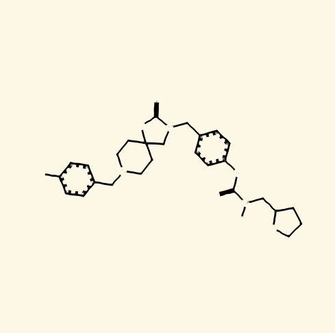 CN(CC1CCCO1)C(=O)Nc1ccc(CN2CC3(CCN(Cc4ccc(C(F)(F)F)cc4)CC3)OC2=O)cc1